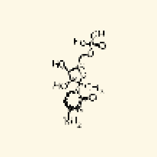 C[C@@]1(n2ccc(N)nc2=O)O[C@H](COP(=O)(O)O)C(O)[C@@H]1O